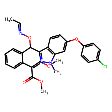 CC=NOC(c1ccccc1C(=COC)C(=O)OC)c1nn(C)c2cc(Oc3ccc(Cl)cc3)ccc12